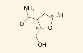 [3H][C@H]1CC(C(N)=O)[C@@H](CO)O1